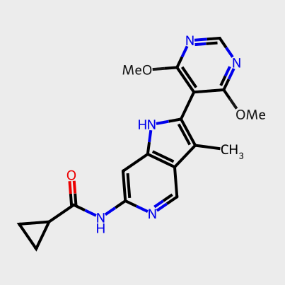 COc1ncnc(OC)c1-c1[nH]c2cc(NC(=O)C3CC3)ncc2c1C